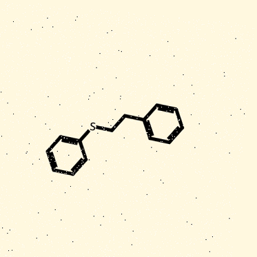 [c]1ccccc1SCCc1ccccc1